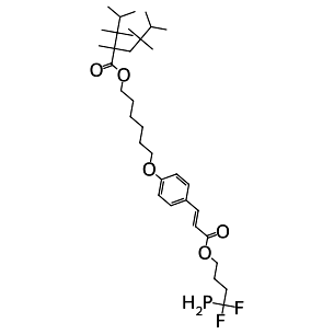 CC(C)C(C)(C)CC(C)(C(=O)OCCCCCCOc1ccc(/C=C/C(=O)OCCCC(F)(F)P)cc1)C(C)(C)C(C)C